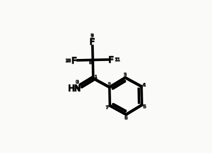 N=C(c1ccccc1)C(F)(F)F